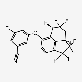 N#Cc1cc(F)cc(Oc2ccc3c4c2[C@@H](F)C(F)(F)C[C@]4(O)C(F)(F)C3(F)F)c1